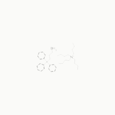 BCCCC(c1ccccc1)(c1ccccc1)c1ccccc1.CCCC[N+](CCCC)(CCCC)CCCC